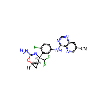 N#Cc1cnc2c(Nc3ccc(F)c([C@@]4(C(F)F)N=C(N)O[C@@H]5C[C@@H]54)c3)ncnc2c1